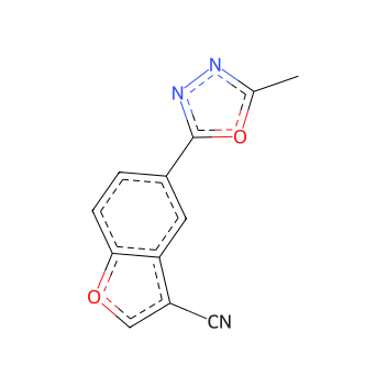 Cc1nnc(-c2ccc3occ(C#N)c3c2)o1